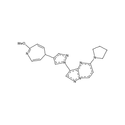 COC1=NC=CC(c2cnn(-c3cnn4ccc(N5CCCC5)nc34)c2)C=C1